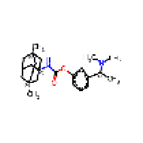 C[C@@H](c1cccc(OC(=O)N[C@@]23CC4C[C@@](C)(C[C@@](C)(C4)C2)C3)c1)N(C)C